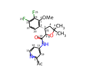 COc1c([C@@H]2CC(C)(C)OC2C(=O)Nc2ccnc(C(C)=O)c2)ccc(F)c1F